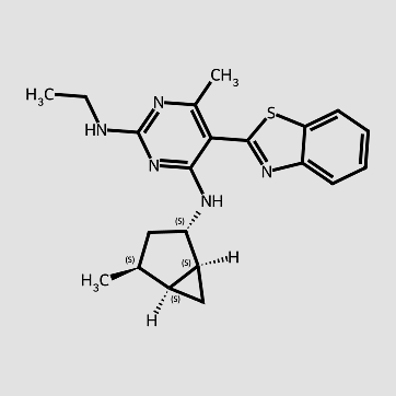 CCNc1nc(C)c(-c2nc3ccccc3s2)c(N[C@H]2C[C@H](C)[C@@H]3C[C@@H]32)n1